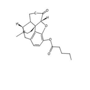 CCCCC(=O)Oc1ccc2c3c1O[C@H]1C(=O)CCC4[C@@H](C2)N(C)CC[C@@]341